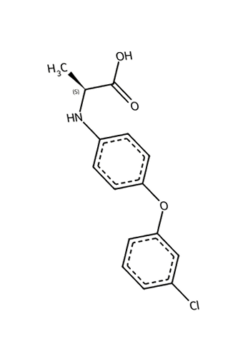 C[C@H](Nc1ccc(Oc2cccc(Cl)c2)cc1)C(=O)O